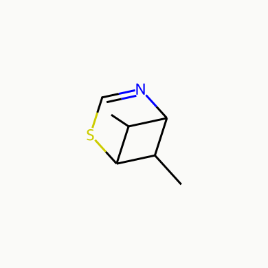 CC1C2N=CSC1C2C